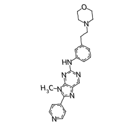 Cn1c(-c2ccncc2)nc2cnc(Nc3cccc(CCN4CCOCC4)c3)nc21